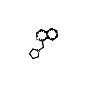 c1ccc2c(CN3CCCC3)nccc2c1